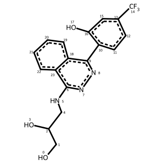 OCC(O)CNc1nnc(-c2ccc(C(F)(F)F)cc2O)c2ccccc12